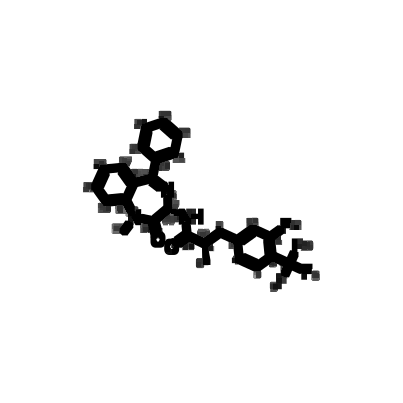 C[C@H](Cc1ccc(C(F)(F)F)c(F)c1)C(=O)N[C@H]1N=C(c2ccccc2)c2ccccc2N(C)C1=O